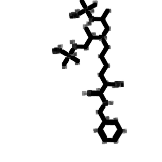 CC(CN(CCCCC(O)C(=O)OCc1ccccc1)C(C)CO[Si](C)(C)C(C)(C)C)O[Si](C)(C)C(C)(C)C